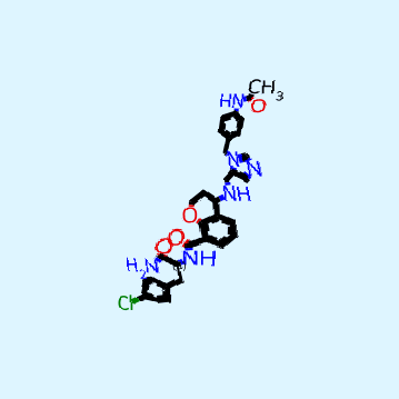 CC(=O)Nc1ccc(Cn2cncc2CNC2CCOc3c(C(=O)N[C@@H](Cc4ccc(Cl)cc4)C(N)=O)cccc32)cc1